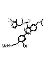 CCn1ncc(CN(C)C(=O)c2nc(-c3ccc(OCCNC)c(O)c3)nc3ccc(CN(C)C)cc23)c1C